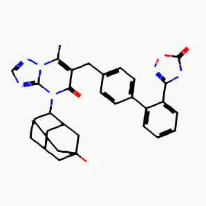 CCCc1c(Cc2ccc(-c3ccccc3-c3noc(=O)[nH]3)cc2)c(=O)n(C2C3CC4CC2CC(O)(C4)C3)c2ncnn12